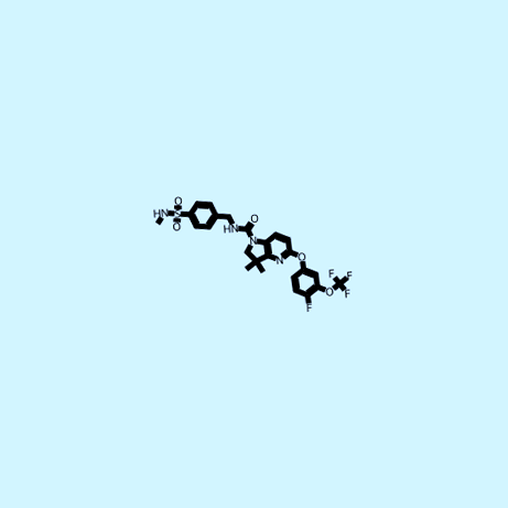 CNS(=O)(=O)c1ccc(CNC(=O)N2CC(C)(C)c3nc(Oc4ccc(F)c(OC(F)(F)F)c4)ccc32)cc1